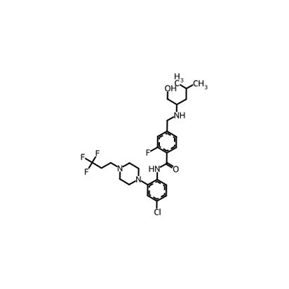 CC(C)CC(CO)NCc1ccc(C(=O)Nc2ccc(Cl)cc2N2CCN(CCC(F)(F)F)CC2)c(F)c1